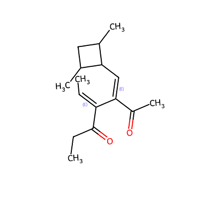 C/C=C(C(=O)CC)\C(=C/C1C(C)CC1C)C(C)=O